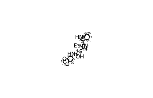 CCn1c(SCC(O)Nc2ccc3c(c2)OCCO3)nnc1-c1c[nH]c2ccccc12